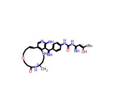 C[C@@H]1CCNc2c(cnc(N)c2C(=N)c2ccc(NC(=O)NC(=N)/C=C(\O)C(C)(C)C)cc2)/C=C/CCOCCC(=O)N1